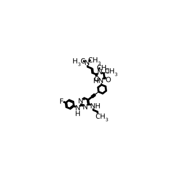 CCCNc1nc(Nc2ccc(F)cc2)ncc1C#C[C@@H]1CCC[C@H](NC(=O)[C@H](C)N(C)C(=O)/C=C/CN(C)C)C1